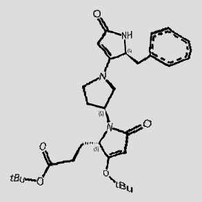 CC(C)(C)OC(=O)CC[C@H]1C(OC(C)(C)C)=CC(=O)N1[C@H]1CCN(C2=CC(=O)N[C@H]2Cc2ccccc2)C1